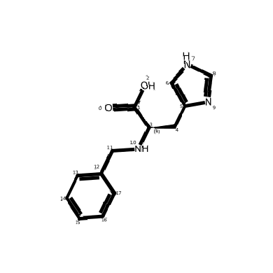 O=C(O)[C@@H](Cc1c[nH]cn1)NCc1ccccc1